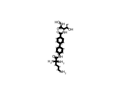 C[C@@H](O)[C@H](NC(=O)c1ccc(-c2ccc(NC(=O)C(N)(N)CCCN)cc2)cc1)C(=O)NO